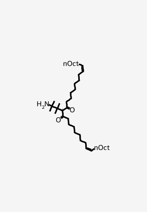 CCCCCCCC/C=C\CCCCCCCC(=O)[C](C(=O)CCCCCCC/C=C\CCCCCCCC)C(C)(C)C(C)(C)N